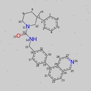 CC1(c2ccccc2)CCCN(C(=O)NCc2ccc(-c3cccc4cnccc34)cc2)C1